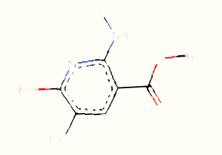 CCCOC(=O)c1cc(C(F)(F)F)c(O)nc1NCC